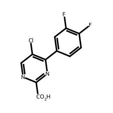 O=C(O)c1ncc(Cl)c(-c2ccc(F)c(F)c2)n1